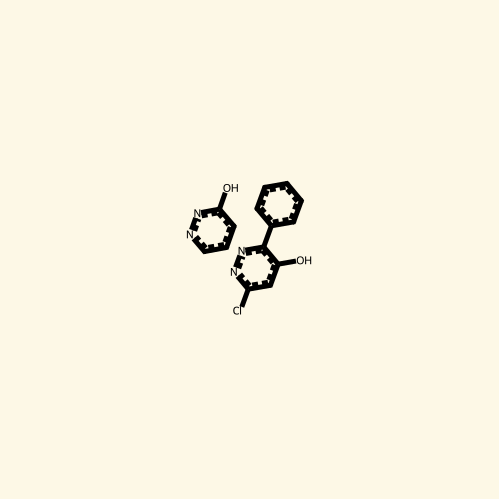 Oc1cc(Cl)nnc1-c1ccccc1.Oc1cccnn1